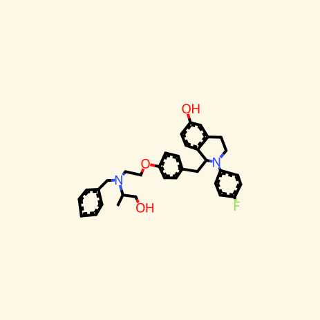 CC(CO)N(CCOc1ccc(CC2c3ccc(O)cc3CCN2c2ccc(F)cc2)cc1)Cc1ccccc1